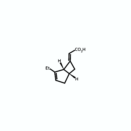 CCC1=CC[C@H]2CC(=CC(=O)O)[C@@H]12